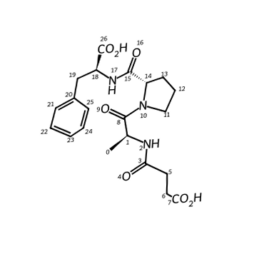 C[C@H](NC(=O)CCC(=O)O)C(=O)N1CCC[C@H]1C(=O)N[C@@H](Cc1ccccc1)C(=O)O